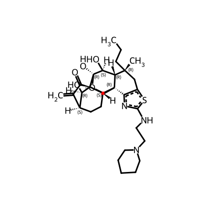 C=C1C(=O)[C@]23[C@H](O)[C@H]1CC[C@H]2[C@@]12CO[C@@]3(O)[C@@H](O)[C@@H]1[C@](C)(CCC)Cc1sc(NCCN3CCCCC3)nc12